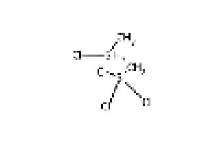 C[SiH2]Cl.C[Si](Cl)(Cl)Cl